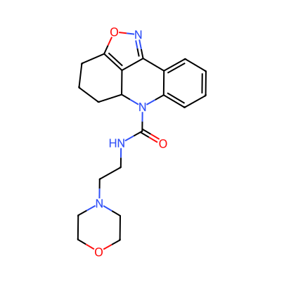 O=C(NCCN1CCOCC1)N1c2ccccc2-c2noc3c2C1CCC3